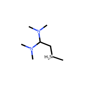 C[SiH2]CC(N(C)C)N(C)C